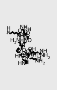 CNCCCC[C@H](N)C(=O)N[C@H](C(=O)N[C@@H](C)C(=O)NCC(=O)/N=C(\CCCN)C(=O)N1CCC[C@H]1C(=O)N[C@@H](Cc1cnc[nH]1)C(=O)N[C@@H](CCCCN)C(=O)N/C(=C\CCNC(=N)N)C(=O)O)[C@@H](O)CN